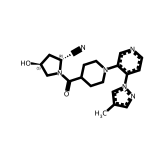 Cc1cnn(-c2ccncc2N2CCC(C(=O)N3C[C@@H](O)C[C@@H]3C#N)CC2)c1